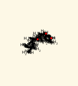 CC[C@H](C)[C@H](NC(=O)[C@@H]1C[C@@H](O)CN1C(=O)[C@@H](N)C(C)C)C(=O)N[C@H](C(=O)N[C@@H](Cc1ccc(O)cc1)C(=O)N[C@H](C(=O)N[C@@H](CC(N)=O)C(=O)N[C@@H](CCCNC(=N)N)C(=O)N[C@@H](CCN)C(=O)N[C@H](C(=O)N[C@H](CCCN)C(=O)N[C@@H](CCCCN)C(=O)N[C@@H](CS)C(=O)N[C@@H](CCN)C(=O)N[C@@H](CCCNC(=N)N)C(=O)N[C@@H](Cc1ccc(O)cc1)C(=O)O)[C@@H](C)O)C(C)(C)S)[C@@H](C)O